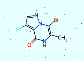 Cc1[nH]c(=O)c2c(F)cnn2c1Br